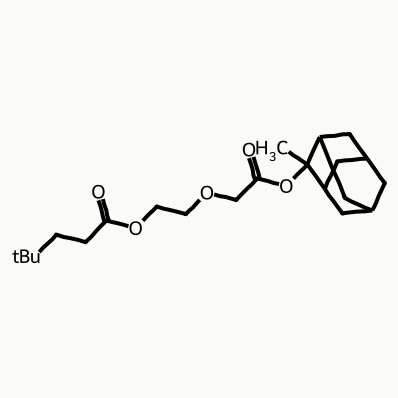 CC(C)(C)CCC(=O)OCCOCC(=O)OC1(C)C2CC3CC(C2)CC1C3